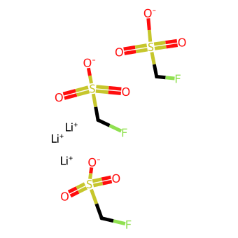 O=S(=O)([O-])CF.O=S(=O)([O-])CF.O=S(=O)([O-])CF.[Li+].[Li+].[Li+]